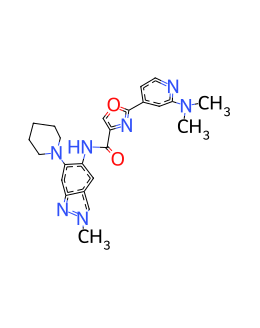 CN(C)c1cc(-c2nc(C(=O)Nc3cc4cn(C)nc4cc3N3CCCCC3)co2)ccn1